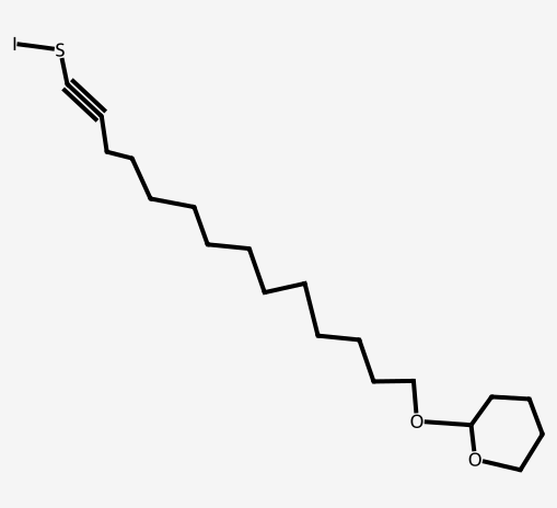 ISC#CCCCCCCCCCCCCOC1CCCCO1